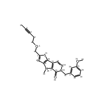 CC#CCCOCc1nc2c(s1)c1cnn(Cc3cccc(OC)c3)c(=O)c1n2C